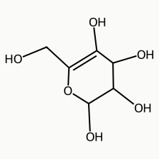 OCC1=C(O)C(O)C(O)C(O)O1